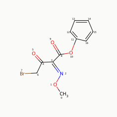 CON=C(C(=O)CBr)C(=O)Oc1ccccc1